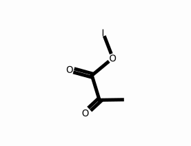 CC(=O)C(=O)OI